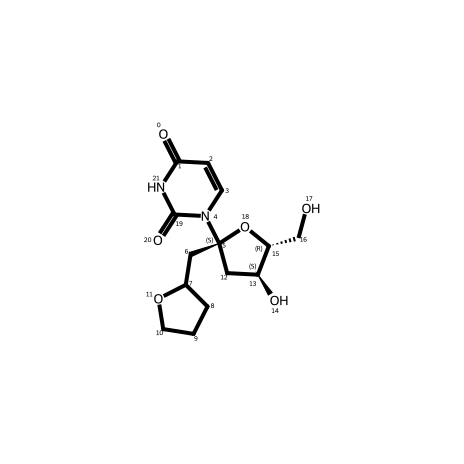 O=c1ccn([C@@]2(CC3CCCO3)C[C@H](O)[C@@H](CO)O2)c(=O)[nH]1